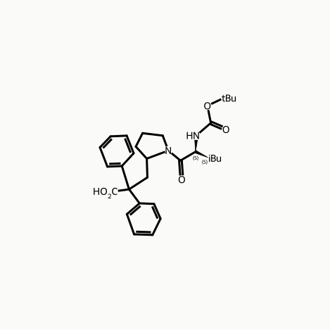 CC[C@H](C)[C@H](NC(=O)OC(C)(C)C)C(=O)N1CCCC1CC(C(=O)O)(c1ccccc1)c1ccccc1